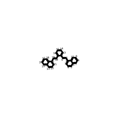 C(=Cc1cccc2ccccc12)c1ccccc1C=Cc1cccc2ccccc12